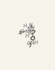 CCC(=O)Nc1ccc(-c2ccc3nc(N)nc(NCCOC(C)(C)C)c3n2)cc1